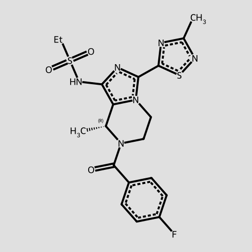 CCS(=O)(=O)Nc1nc(-c2nc(C)ns2)n2c1[C@@H](C)N(C(=O)c1ccc(F)cc1)CC2